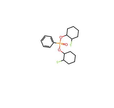 O=P(OC1CCCCC1F)(OC1CCCCC1F)c1ccccc1